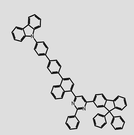 c1ccc(-c2nc(-c3ccc4c(c3)C(c3ccccc3)(c3ccccc3)c3ccccc3-4)cc(-c3ccc(-c4ccc(-c5ccc(-n6c7ccccc7c7ccccc76)cc5)cc4)c4ccccc34)n2)cc1